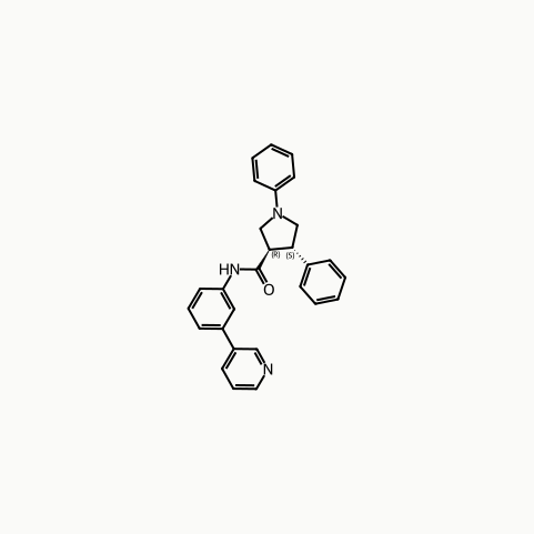 O=C(Nc1cccc(-c2cccnc2)c1)[C@H]1CN(c2ccccc2)C[C@@H]1c1ccccc1